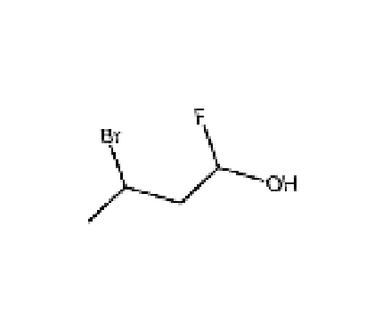 CC(Br)CC(O)F